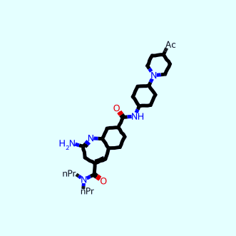 CCCN(CCC)C(=O)C1=CC2CCC(C(=O)NC3CCC(N4CCC(C(C)=O)CC4)CC3)CC2N=C(N)C1